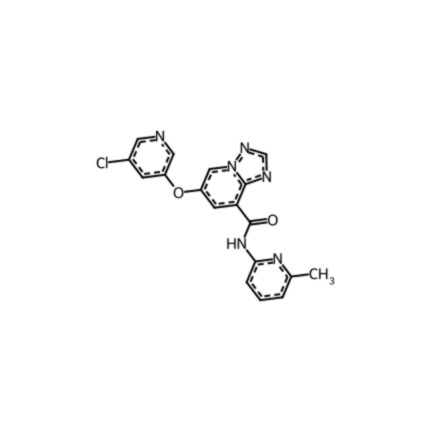 Cc1cccc(NC(=O)c2cc(Oc3cncc(Cl)c3)cn3ncnc23)n1